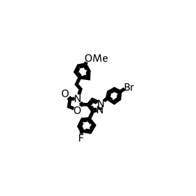 COc1ccc(CCN2C(=O)COC2c2cn(-c3ccc(Br)cc3)nc2-c2ccc(F)cc2)cc1